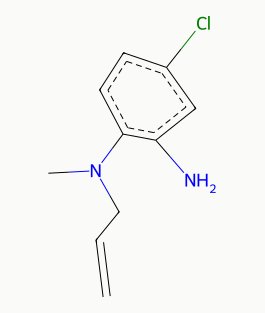 C=CCN(C)c1ccc(Cl)cc1N